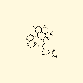 Cc1cc2c3c(c1)[C@@H](c1cccc4c1OCCO4)O[C@H](CC(=O)N1CCCC(C(=O)O)C1)C(=O)N3[C@H](C(C)(C)C)CO2